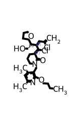 C=C(Cl)/C=C(\C(Cl)=C1/CCCN(Cc2c(C)cc(C)nc2OCCCC)C1=O)[C@H](CO)C1CCCO1